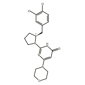 O=c1cc(N2CCOCC2)nc(N2CCC[C@H]2Cc2ccc(Cl)c(Cl)c2)[nH]1